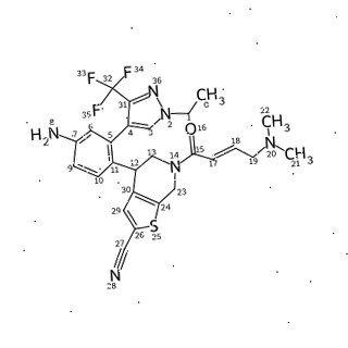 CCn1cc(-c2cc(N)ccc2C2CN(C(=O)/C=C/CN(C)C)Cc3sc(C#N)cc32)c(C(F)(F)F)n1